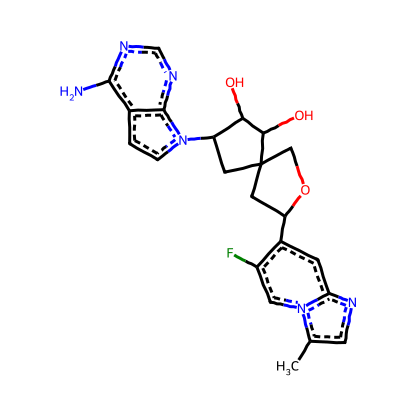 Cc1cnc2cc(C3CC4(CO3)CC(n3ccc5c(N)ncnc53)C(O)C4O)c(F)cn12